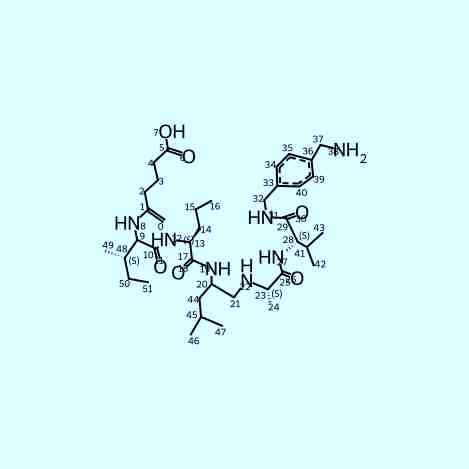 C=C(CCCC(=O)O)NC(C(=O)N[C@@H](CCC)C(=O)NC(CN[C@@H](C)C(=O)N[C@H](C(=O)NCc1ccc(CN)cc1)C(C)C)CC(C)C)[C@@H](C)CC